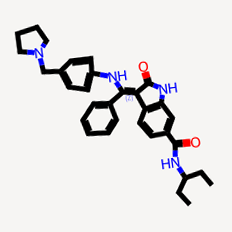 CCC(CC)NC(=O)c1ccc2c(c1)NC(=O)/C2=C(\Nc1ccc(CN2CCCC2)cc1)c1ccccc1